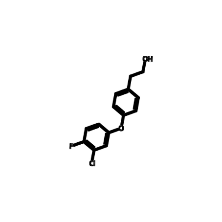 OCCc1ccc(Oc2ccc(F)c(Cl)c2)cc1